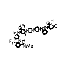 CNC(=O)c1ccccc1Nc1cc(Nc2cc(C)c(N3CCN(C4CCN(Cc5ccccc5NC5CCC(=O)NC5=O)CC4)CC3)cc2OC(C)C)ncc1C(F)(F)F